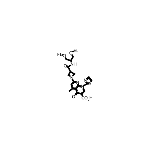 CCOCC(COCC)NC(=O)C1CN(c2cc(C)c3c(=O)c(C(=O)O)cn(-c4nccs4)c3n2)C1